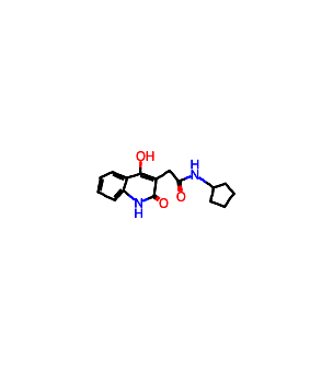 O=C(Cc1c(O)c2ccccc2[nH]c1=O)NC1CCCC1